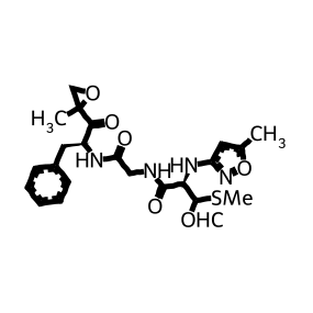 CSC(C=O)[C@H](Nc1cc(C)on1)C(=O)NCC(=O)N[C@@H](Cc1ccccc1)C(=O)C1(C)CO1